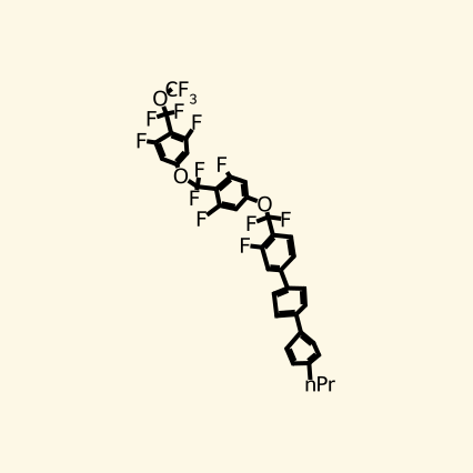 CCCc1ccc(-c2ccc(-c3ccc(C(F)(F)Oc4cc(F)c(C(F)(F)Oc5cc(F)c(C(F)(F)OC(F)(F)F)c(F)c5)c(F)c4)c(F)c3)cc2)cc1